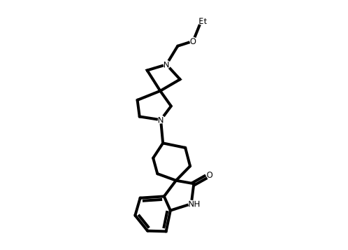 CCOCN1CC2(CCN(C3CCC4(CC3)C(=O)Nc3ccccc34)C2)C1